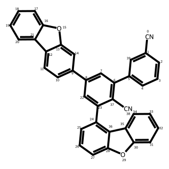 N#Cc1cccc(-c2cc(-c3ccc4c(c3)oc3ccccc34)cc(-c3cccc4oc5ccccc5c34)c2C#N)c1